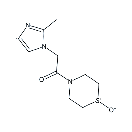 Cc1n[c]cn1CC(=O)N1CC[S+]([O-])CC1